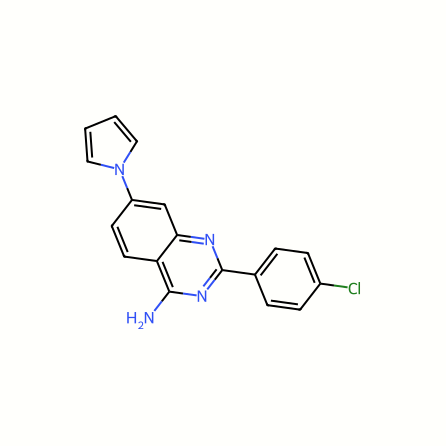 Nc1nc(-c2ccc(Cl)cc2)nc2cc(-n3cccc3)ccc12